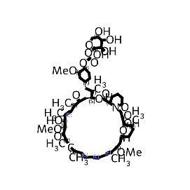 CO[C@H]1C[C@@H]2CC[C@@H](C)[C@@](O)(O2)C(=O)C(=O)N2CCCC[C@H]2C(=O)O[C@H]([C@H](C)C[C@H]2CC[C@@H](OC(=O)O[C@@]3(O)OC[C@H](O)C(O)C3O)[C@H](OC)C2)CC(=O)[C@H](C)/C=C(\C)[C@@H](O)[C@@H](OC)C(=O)[C@H](C)C[C@H](C)/C=C/C=C/C=C/1C